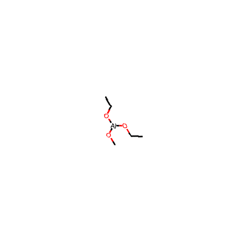 CC[O][Al]([O]C)[O]CC